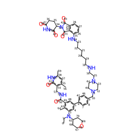 CCN(c1cc(-c2ccc(CN3CCN(CCNCCCCCCNc4cccc5c4C(=O)N(C4CCC(=O)NC4=O)C5=O)CC3)cc2)cc(C(=O)NCc2c(C)cc(C)[nH]c2=O)c1C)C1CCOCC1